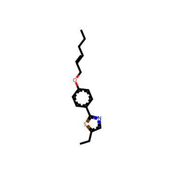 CCCC=CCOc1ccc(-c2ncc(CC)s2)cc1